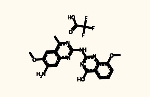 COc1cc2c(C)nc(Nc3nc(O)c4cccc(OC)c4n3)nc2cc1N.O=C(O)C(F)(F)F